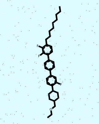 CCCCCCCCCc1ccc(-c2ccc(-c3ccc(C4CCC(COCC)CC4)c(F)c3)cc2)c(F)c1F